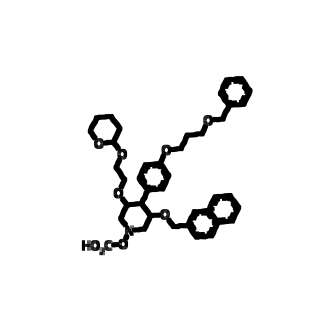 O=C(O)ON1CC(OCCOC2CCCCO2)C(c2ccc(OCCCOCc3ccccc3)cc2)C(OCc2ccc3ccccc3c2)C1